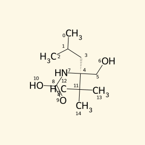 CC(C)C[C@@](CO)(NC(=O)O)C(C)(C)C